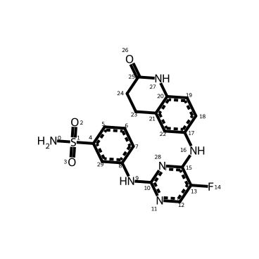 NS(=O)(=O)c1cccc(Nc2ncc(F)c(Nc3ccc4c(c3)CCC(=O)N4)n2)c1